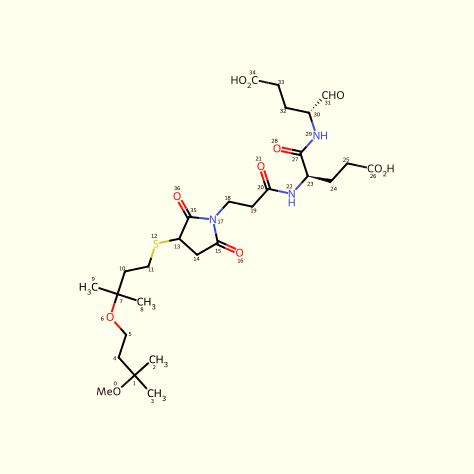 COC(C)(C)CCOC(C)(C)CCSC1CC(=O)N(CCC(=O)N[C@H](CCC(=O)O)C(=O)N[C@@H](C=O)CCC(=O)O)C1=O